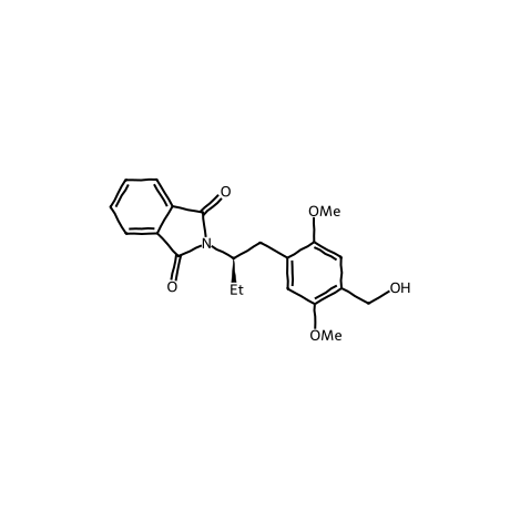 CC[C@H](Cc1cc(OC)c(CO)cc1OC)N1C(=O)c2ccccc2C1=O